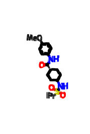 COc1ccc(NC(=O)[C@H]2CC[C@H](NS(=O)(=O)C(C)C)CC2)cc1